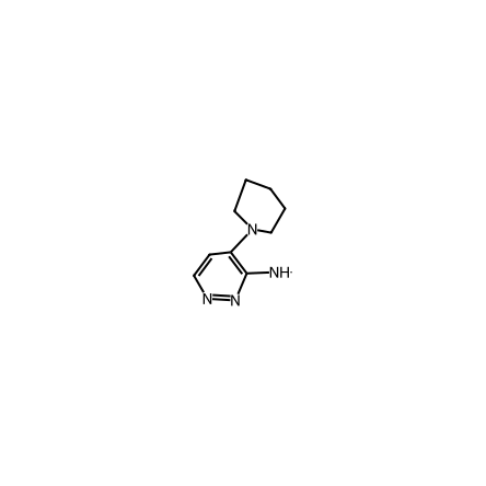 [NH]c1nnccc1N1CCCCC1